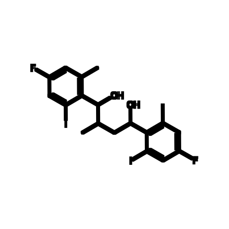 Cc1cc(F)cc(I)c1C(O)CC(C)C(O)c1c(C)cc(F)cc1I